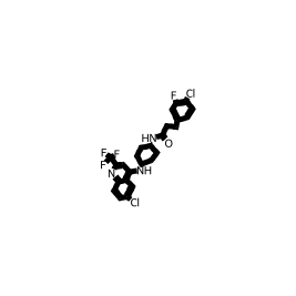 O=C(CCc1ccc(Cl)c(F)c1)N[C@H]1CC[C@@H](Nc2cc(C(F)(F)F)nc3ccc(Cl)cc23)CC1